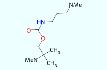 CNCCCNC(=O)OCC(C)(C)NC